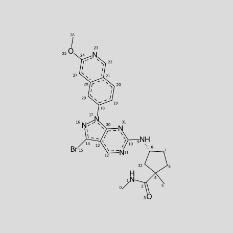 CNC(=O)C1(C)CC[C@@H](Nc2ncc3c(Br)nn(-c4ccc5cnc(OC)cc5c4)c3n2)C1